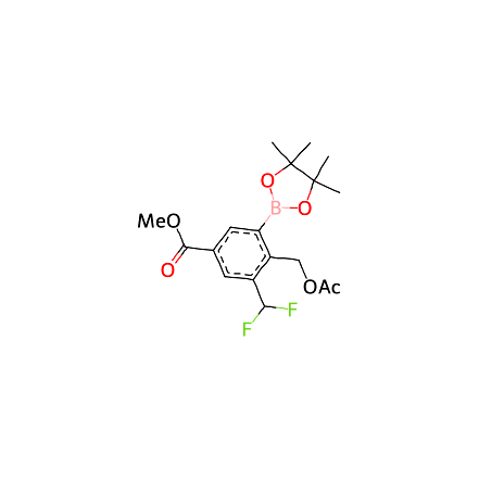 COC(=O)c1cc(B2OC(C)(C)C(C)(C)O2)c(COC(C)=O)c(C(F)F)c1